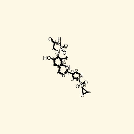 O=C1CN(c2c(O)cc3cnc(-c4cnn(S(=O)(=O)C5CC5)c4)nc3c2F)S(=O)(=O)N1